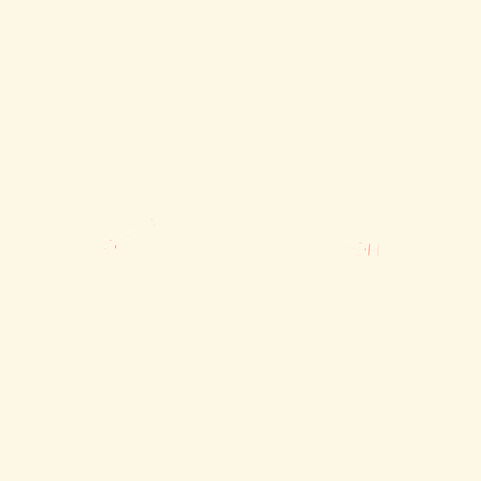 O=C(c1ccccc1)c1c2ccccc2cc2c(O)cccc12